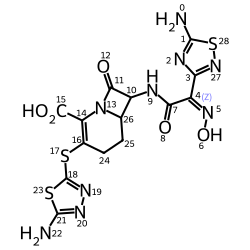 Nc1nc(/C(=N/O)C(=O)NC2C(=O)N3C(C(=O)O)=C(Sc4nnc(N)s4)CCC23)ns1